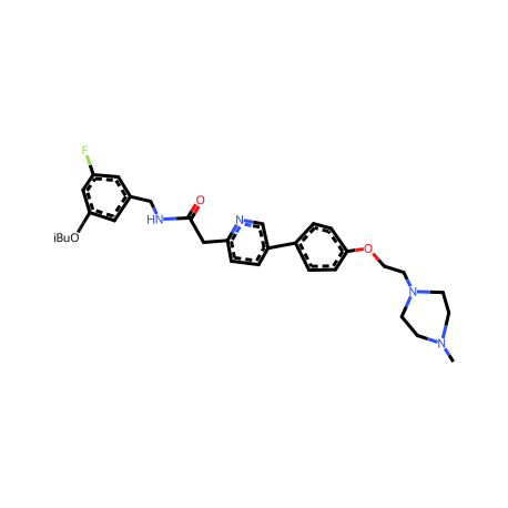 CC(C)COc1cc(F)cc(CNC(=O)Cc2ccc(-c3ccc(OCCN4CCN(C)CC4)cc3)cn2)c1